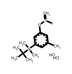 Cl.Cl.[CH2]=[Ti]([F])[O]c1cc(C)cc([Si](C)(C)C(C)(C)C)c1